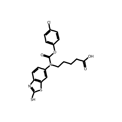 O=C(O)CCCCN(C(=O)Oc1ccc(Cl)cc1)c1ccc2nc(S)sc2c1